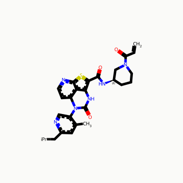 C=CC(=O)N1CCC[C@@H](NC(=O)c2sc3nccc4c3c2NC(=O)N4c2cnc(CC(C)C)cc2C)C1